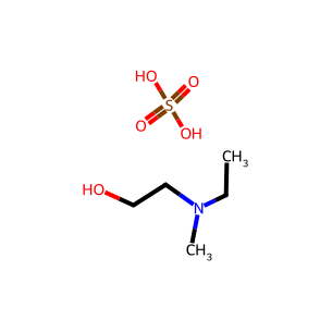 CCN(C)CCO.O=S(=O)(O)O